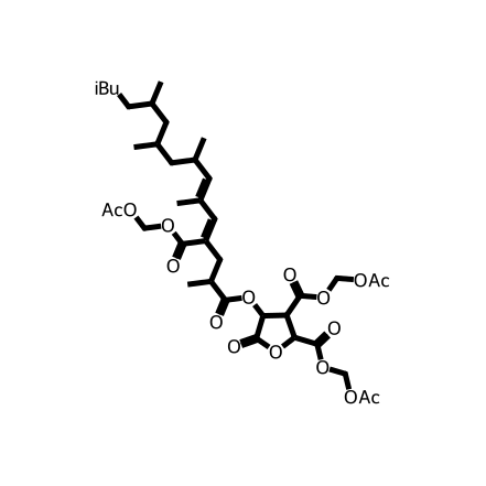 CCC(C)CC(C)CC(C)CC(C)/C=C(C)/C=C(/CC(C)C(=O)OC1C(=O)OC(C(=O)OCOC(C)=O)C1C(=O)OCOC(C)=O)C(=O)OCOC(C)=O